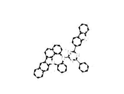 c1ccc(-c2nc(-c3ccc4c(c3)oc3ccccc34)nc(-n3c4cccc5ccc6c7cc8ccccc8cc7n(c7ccccc73)c6c54)n2)cc1